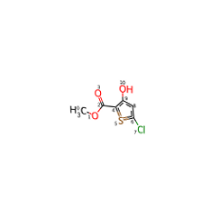 COC(=O)c1sc(Cl)cc1O